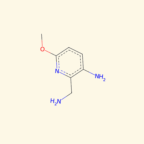 COc1ccc(N)c(CN)n1